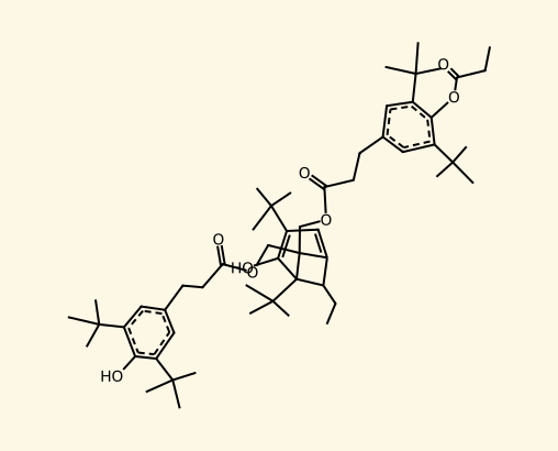 CCC(=O)Oc1c(C(C)(C)C)cc(CCC(=O)OCC2(COC(=O)CCc3cc(C(C)(C)C)c(O)c(C(C)(C)C)c3)C3=CC(C(C)(C)C)=C(O)C2(C(C)(C)C)C3CC)cc1C(C)(C)C